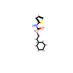 O=C(Nc1cccs1)OCCC1CCCCC1